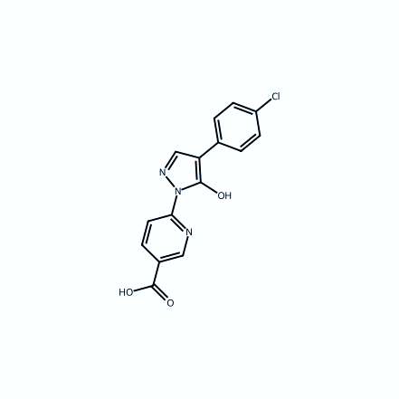 O=C(O)c1ccc(-n2ncc(-c3ccc(Cl)cc3)c2O)nc1